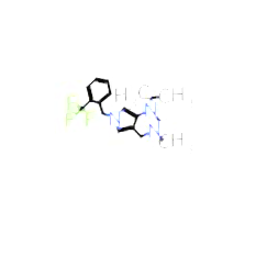 CC(C)N1CN(C)Cc2cn(Cc3ccccc3C(F)(F)F)cc21